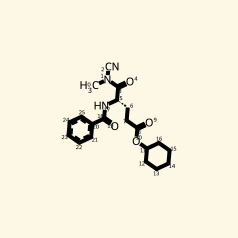 CN(C#N)C(=O)[C@H](CCC(=O)OC1CCCCC1)NC(=O)c1ccccc1